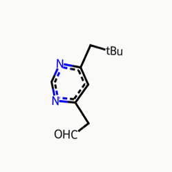 CC(C)(C)Cc1cc(CC=O)ncn1